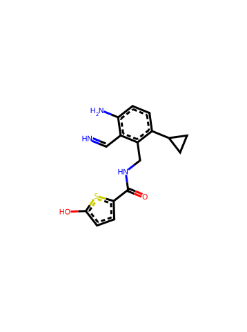 N=Cc1c(N)ccc(C2CC2)c1CNC(=O)c1ccc(O)s1